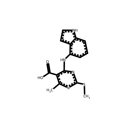 CSc1nc(C)c(C(=O)O)c(Nc2cccc3[nH]ccc23)n1